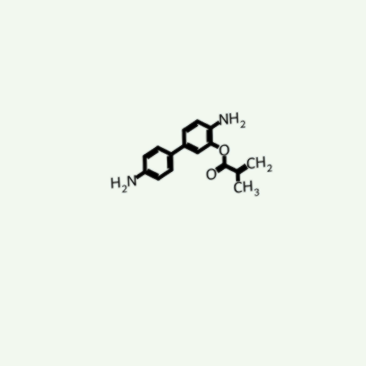 C=C(C)C(=O)Oc1cc(-c2ccc(N)cc2)ccc1N